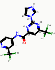 O=C(Nc1ccnc(C(F)(F)F)c1)c1cc(C(F)(F)F)nc(-n2ccnc2)n1